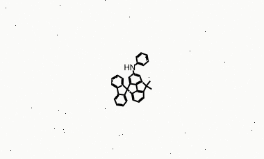 CC1(C)c2cccc3c2-c2c1cc(Nc1ccccc1)cc2C31c2ccccc2-c2ccccc21